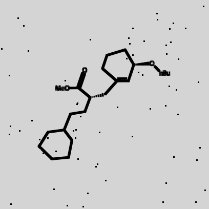 CCCCO[C@H]1C=C(C[C@H](CCC2CCCCC2)C(=O)OC)CCC1